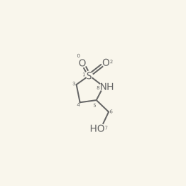 O=S1(=O)CCC(CO)N1